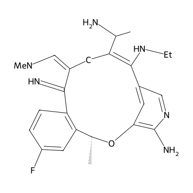 CCN/C1=C(\C(C)N)C/C(=C/NC)C(=N)c2ccc(F)cc2[C@@H](C)Oc2cc1cnc2N